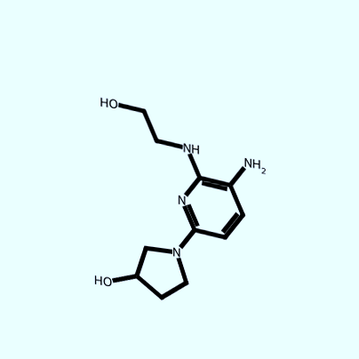 Nc1ccc(N2CCC(O)C2)nc1NCCO